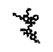 CC(C)CCOC(=O)C[C@H](NP(=O)(OC[C@H]1O[C@@H](n2ccc(N)nc2=O)C(F)(F)C1O)Oc1ccccc1)C(=O)OCCC(C)C